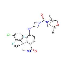 CC1(c2cccc(Cl)c2F)CNC(=O)c2ccc(NC3CN(C(=O)N4C[C@@H]5C[C@H]4CO5)C3)c(F)c21